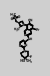 CC(C)c1cc(C#N)c(N2C[C@H](CS(C)(=O)=O)[C@H]2C)c2cnc(Nc3ccnc(N4CC[C@@](C)(O)[C@@H](F)C4)n3)cc12